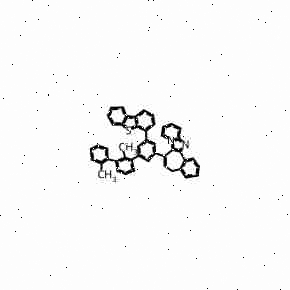 Cc1ccccc1-c1cccc(-c2cc(C3=CCc4ccccc4-c4nc5ccccn5c43)cc(-c3cccc4c3sc3ccccc34)c2)c1C